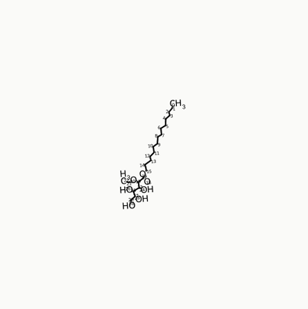 CCCCCCCCCCCCCCCCOC(=O)C(OCC)C(O)C(O)C(O)CO